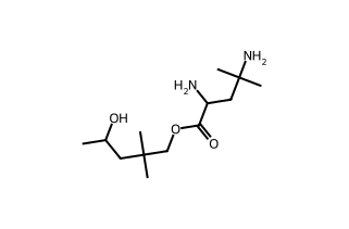 CC(O)CC(C)(C)COC(=O)C(N)CC(C)(C)N